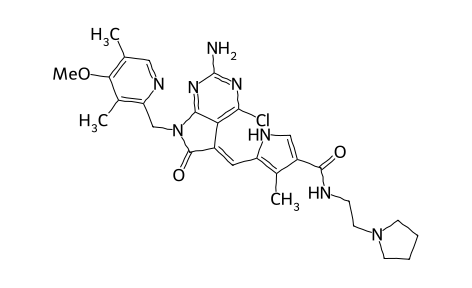 COc1c(C)cnc(CN2C(=O)/C(=C/c3[nH]cc(C(=O)NCCN4CCCC4)c3C)c3c(Cl)nc(N)nc32)c1C